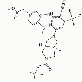 COC(=O)Cc1ccc(SC)c(Nc2nc(N3C[C@H]4CN(C(=O)OC(C)(C)C)C[C@H]4C3)cc(C(F)(F)F)c2C#N)c1